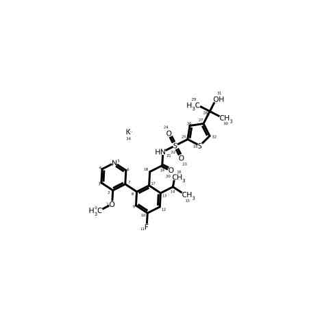 COc1ccncc1-c1cc(F)cc(C(C)C)c1CC(=O)NS(=O)(=O)c1cc(C(C)(C)O)cs1.[K]